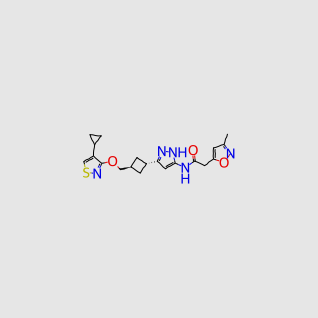 Cc1cc(CC(=O)Nc2cc([C@H]3C[C@H](COc4nscc4C4CC4)C3)n[nH]2)on1